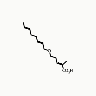 CC=CCCC=CCOCCC=C(C)C(=O)O